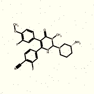 COc1ccc(C2=C(c3ccc(C#N)c(F)c3)NC(N3CCC[C@@H](N)C3)N(C)C2=O)cc1F